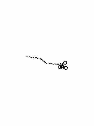 CCCCCCCCCC#CC#CCCCCCCCCC(O)O[Si](c1ccccc1)(c1ccccc1)C(C)(C)C